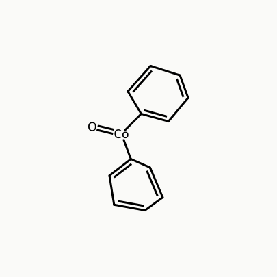 [O]=[Co]([c]1ccccc1)[c]1ccccc1